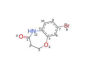 O=C1CCOc2cc(Br)ccc2N1